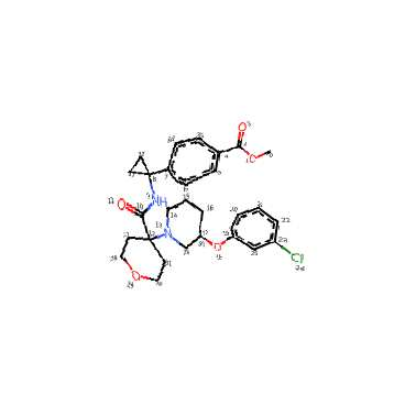 COC(=O)c1ccc(C2(NC(=O)C3(N4CCC[C@@H](Oc5cccc(Cl)c5)C4)CCOCC3)CC2)cc1